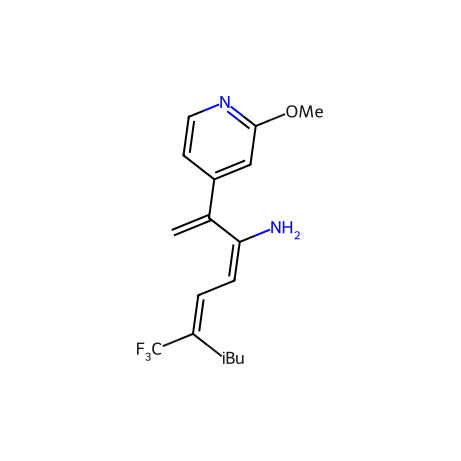 C=C(/C(N)=C\C=C(/C(C)CC)C(F)(F)F)c1ccnc(OC)c1